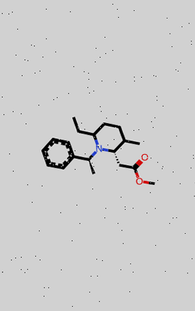 CCC1CCC(C)[C@H](CC(=O)OC)N1[C@@H](C)c1ccccc1